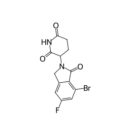 O=C1CCC(N2Cc3cc(F)cc(Br)c3C2=O)C(=O)N1